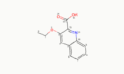 CCOc1cc2ccccc2nc1C(=O)O